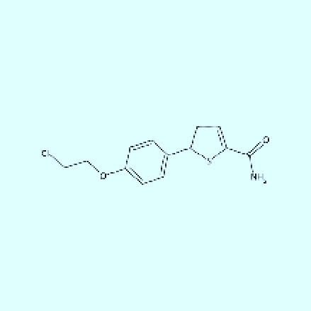 NC(=O)C1=CCC(c2ccc(OCCCl)cc2)S1